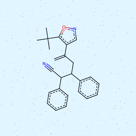 C=C(CC(c1ccccc1)C(C#N)c1ccccc1)c1cnoc1C(C)(C)C